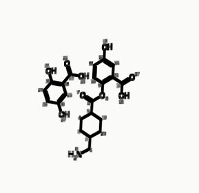 NCC1CCC(C(=O)Oc2ccc(O)cc2C(=O)O)CC1.O=C(O)c1cc(O)ccc1O